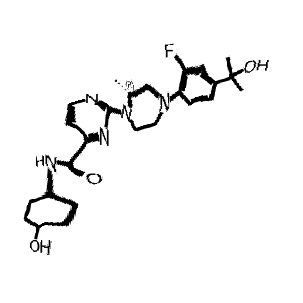 C[C@@H]1CN(c2ccc(C(C)(C)O)cc2F)CCN1c1nccc(C(=O)NC2CCC(O)CC2)n1